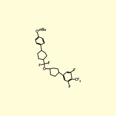 CCCCOc1ccc(C2CCC(C(F)(F)OC3CCC(c4cc(F)c(C(F)(F)F)c(F)c4)CC3)CC2)cc1